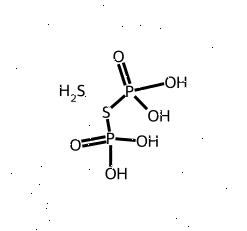 O=P(O)(O)SP(=O)(O)O.S